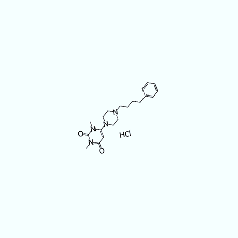 Cl.Cn1c(N2CCN(CCCCc3ccccc3)CC2)cc(=O)n(C)c1=O